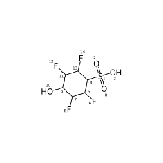 O=S(=O)(O)C1C(F)C(F)C(O)C(F)C1F